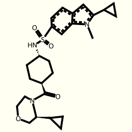 Cn1c(C2CC2)cc2ccc(S(=O)(=O)N[C@H]3CC[C@H](C(=O)N4CCOC[C@@H]4C4CC4)CC3)cc21